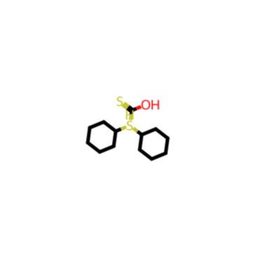 OC(=S)[SH](C1CCCCC1)C1CCCCC1